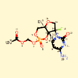 CC[C@@]12COP(=O)(OCOC(=O)C(C)(C)C)O[C@H]1[C@@](F)(n1ccc(N)nc1=O)CO2